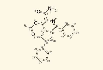 CC(=O)Oc1c(C(N)=O)nc(-c2ccccc2)c2sc(-c3ccccc3)cc12